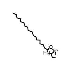 CCCCCCCCCCCCCCCCCC(=O)NC(CC)[N+](C)(C)C